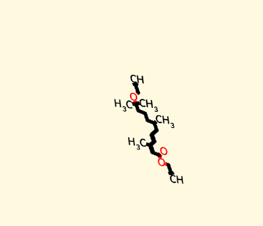 C#CCOC(=O)C=C(C)C=CCC(C)CCCC(C)(C)OCC#C